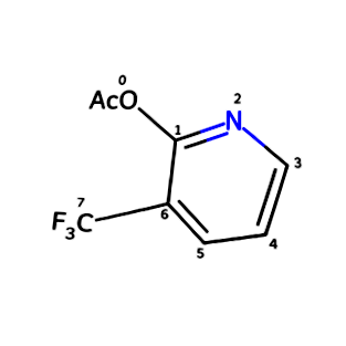 CC(=O)Oc1ncccc1C(F)(F)F